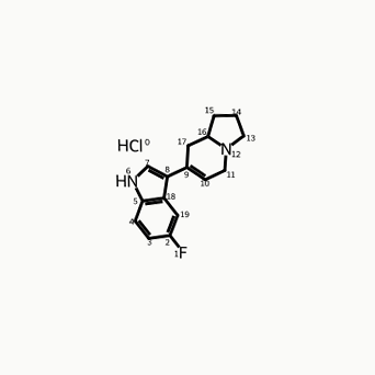 Cl.Fc1ccc2[nH]cc(C3=CCN4CCCC4C3)c2c1